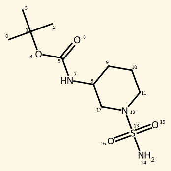 CC(C)(C)OC(=O)NC1CCCN(S(N)(=O)=O)C1